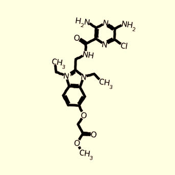 CCn1c(CNC(=O)c2nc(Cl)c(N)nc2N)[n+](CC)c2ccc(OCC(=O)OC)cc21